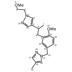 COCCn1cc(C(C)Cc2cc(Cn3cc(C)cn3)ccc2OC)cn1